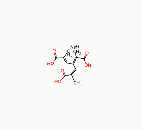 CC(=CC(C=C(C)C(=O)O)=C(C)C(=O)O)C(=O)O.[NaH]